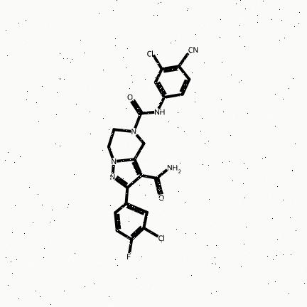 N#Cc1ccc(NC(=O)N2CCn3nc(-c4ccc(F)c(Cl)c4)c(C(N)=O)c3C2)cc1Cl